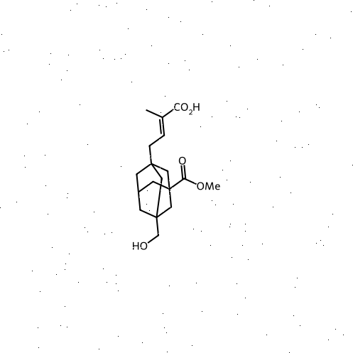 COC(=O)C12CC3CC(CO)(CC(CC=C(C)C(=O)O)(C3)C1)C2